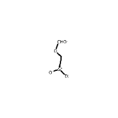 CC[S+]([O-])CO[C]=O